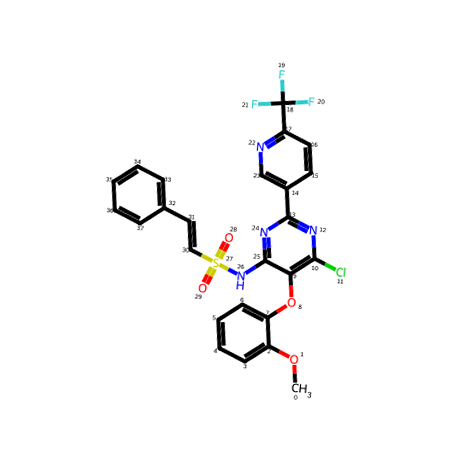 COc1ccccc1Oc1c(Cl)nc(-c2ccc(C(F)(F)F)nc2)nc1NS(=O)(=O)C=Cc1ccccc1